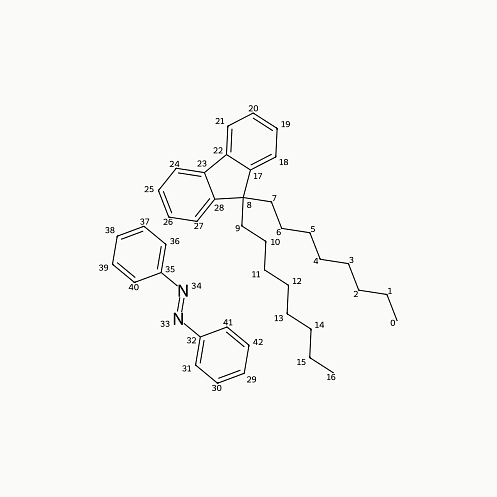 CCCCCCCCC1(CCCCCCCC)c2ccccc2-c2ccccc21.c1ccc(N=Nc2ccccc2)cc1